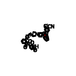 N#Cc1ccc(OC2CC3CCC(C2)N3C(=O)c2ccc(N3CCN(CC4CN(c5cccc6c5C(=O)N(C5CCC(=O)NC5=O)C6=O)C4)CC3)cc2)cc1Cl